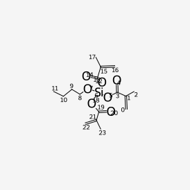 C=C(C)C(=O)O[Si](OCCCC)(OC(=O)C(=C)C)OC(=O)C(=C)C